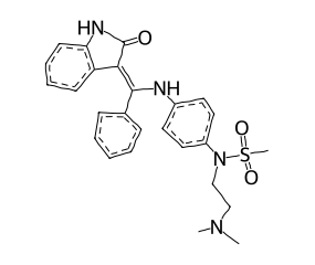 CN(C)CCN(c1ccc(N/C(=C2\C(=O)Nc3ccccc32)c2ccccc2)cc1)S(C)(=O)=O